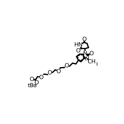 Cn1c(=O)n(C2CCC(=O)NC2=O)c2ccc(CCCOCCOCCOCCOCC(=O)OC(C)(C)C)cc21